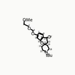 COCCOCOc1ccc2c(c1)OC1(CCN(C(C)(C)C)CC1)CC2=O